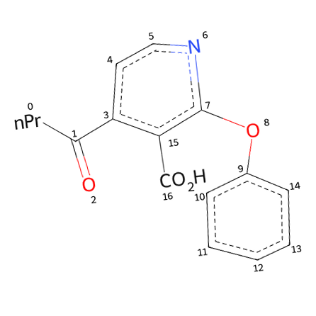 CCCC(=O)c1ccnc(Oc2ccccc2)c1C(=O)O